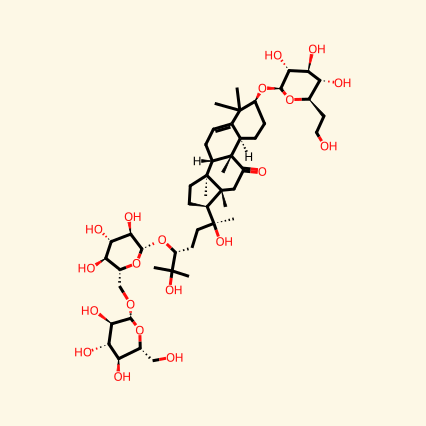 CC(C)(O)[C@@H](CC[C@](C)(O)[C@H]1CC[C@@]2(C)[C@@H]3CC=C4[C@@H](CC[C@H](O[C@@H]5O[C@H](CCO)[C@@H](O)[C@H](O)[C@H]5O)C4(C)C)[C@]3(C)C(=O)C[C@]12C)O[C@@H]1O[C@H](CO[C@@H]2O[C@H](CO)[C@@H](O)[C@H](O)[C@H]2O)[C@@H](O)[C@H](O)[C@H]1O